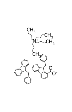 CCCC[N+](CCCC)(CCCC)CCCC.O=C([O-])c1cccc2c1C(Cc1ccccc1)c1ccccc1-2.c1ccc(CC2c3ccccc3-c3ccccc32)cc1